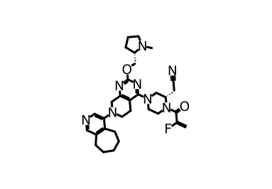 C=C(F)C(=O)N1CCN(c2nc(OC[C@@H]3CCCN3C)nc3c2CCN(c2cncc4c2CCCCC4)C3)C[C@@H]1CC#N